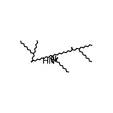 C=C(CCCCCCCCC(CCCCCCCCC(=C)CCC(CCCCCC)CCCCCCCC)N(NC)C(=C)CCCCCCCC)CCC(CCCCCC)CCCCCCCC